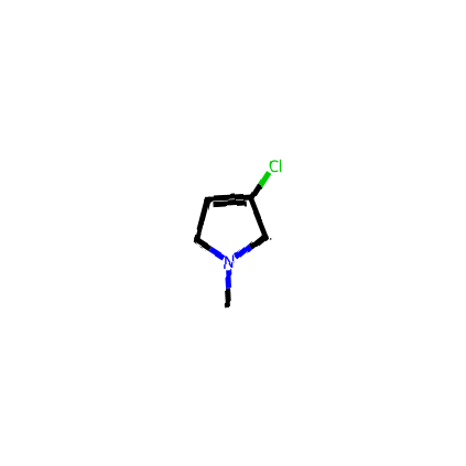 CN1[CH]C(Cl)=CC1